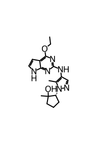 CCOc1nc(Nc2cnn([C@@H]3CCCC3(C)O)c2C)nc2[nH]ccc12